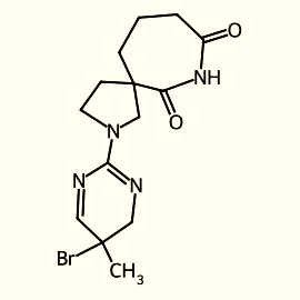 CC1(Br)C=NC(N2CCC3(CCCC(=O)NC3=O)C2)=NC1